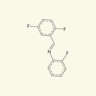 Fc1ccc(F)c(C=Nc2ccccc2F)c1